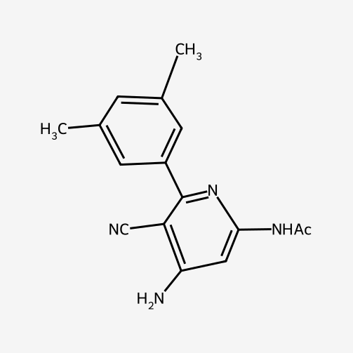 CC(=O)Nc1cc(N)c(C#N)c(-c2cc(C)cc(C)c2)n1